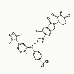 Cc1ccc(-c2c(C)noc2C)cc1N(CCCNc1cc2c(cc1F)C(=O)N(C1CCC(=O)NC1=O)C2)c1ccc(C2(C#N)CC2)cc1